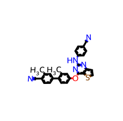 Cc1cc(-c2ccc(Oc3nc(Nc4ccc(C#N)cc4)nc4ccsc34)cc2C)ccc1C#N